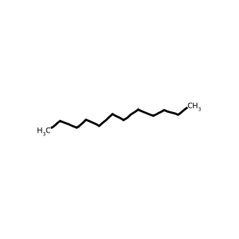 CC[CH]CCCC[CH]CCCC